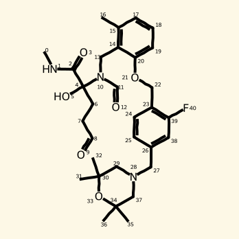 CNC(=O)C(O)(CCC=O)N(C=O)Cc1c(C)cccc1OCc1ccc(CN2CC(C)(C)OC(C)(C)C2)cc1F